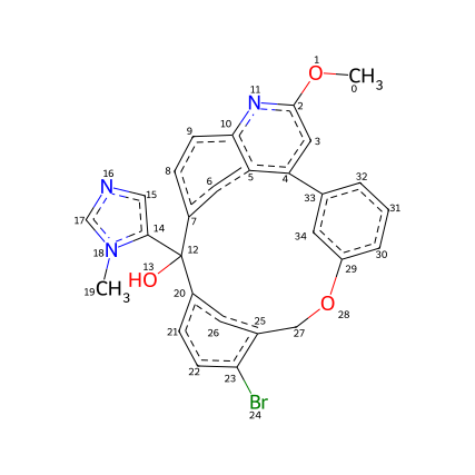 COc1cc2c3cc(ccc3n1)C(O)(c1cncn1C)c1ccc(Br)c(c1)COc1cccc-2c1